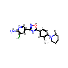 CC1CCCCN1c1ccc(-c2nc(-c3cnc(N)c(Cl)c3)no2)cc1C(F)(F)F